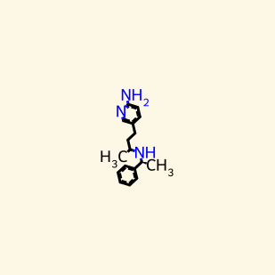 CC(CCc1ccc(N)nc1)N[C@@H](C)c1ccccc1